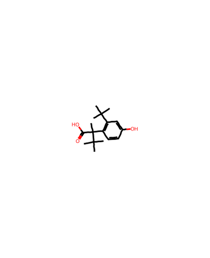 CC(C)(C)c1cc(O)ccc1C(C)(C(=O)O)C(C)(C)C